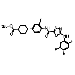 CC(C)(C)OC(=O)[C@H]1CC[C@H](c2ccc(NC(=O)c3nnc(Nc4cc(F)c(F)cc4F)o3)c(F)c2)CC1